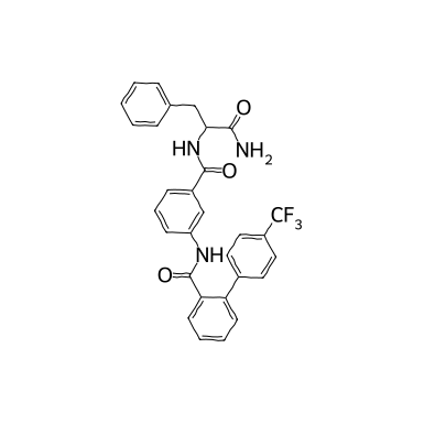 NC(=O)C(Cc1ccccc1)NC(=O)c1cccc(NC(=O)c2ccccc2-c2ccc(C(F)(F)F)cc2)c1